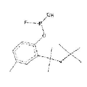 Cc1ccc(OP(O)F)c(C(C)(C)CC(C)(C)C)c1